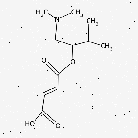 CC(C)C(CN(C)C)OC(=O)/C=C/C(=O)O